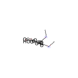 CCCCCCCC/C=C\CCCCCCCC(=O)OCC(COC(=O)CCC(=O)OCC(=O)C1CCC2C3CCC4=CC(=O)C=CC4(C)C3C(O)CC12C)OC(=O)CCCCCCC/C=C\CCCCCCCC